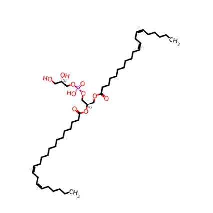 CCCCC/C=C\C/C=C\CCCCCCCCCCCC(=O)O[C@H](COC(=O)CCCCCCCCC/C=C\C/C=C\CCCCC)COP(=O)(O)OC[C@@H](O)CO